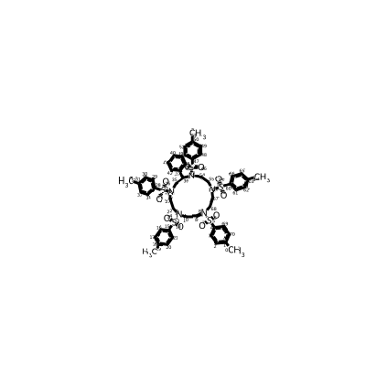 Cc1ccc(S(=O)(=O)N2CCN(S(=O)(=O)c3ccc(C)cc3)CCN(S(=O)(=O)c3ccc(C)cc3)CC(c3ccccc3)N(S(=O)(=O)c3ccc(C)cc3)CCN(S(=O)(=O)c3ccc(C)cc3)CC2)cc1